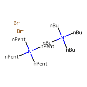 CCCCC[N+](CCCCC)(CCCCC)CCCCC.CCCC[N+](CCCC)(CCCC)CCCC.[Br-].[Br-]